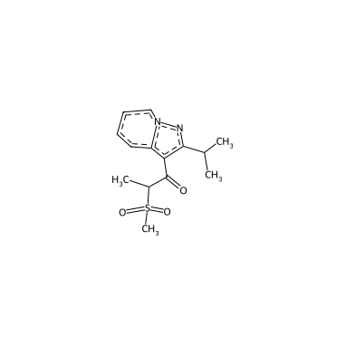 CC(C)c1nn2ccccc2c1C(=O)C(C)S(C)(=O)=O